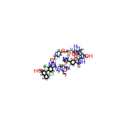 C=CC(=O)N1CCN(c2nc(OCCN3CCC(OCCOCC(=O)N[C@H](C(=O)N4C[C@@H](O)C[C@H]4C(=O)N[C@@H](C)c4ccc(-c5scnc5C)cc4)C(C)(C)C)CC3)nc3c(F)c(-c4cc(O)cc5ccccc45)c(Cl)cc23)C[C@@H]1CC#N